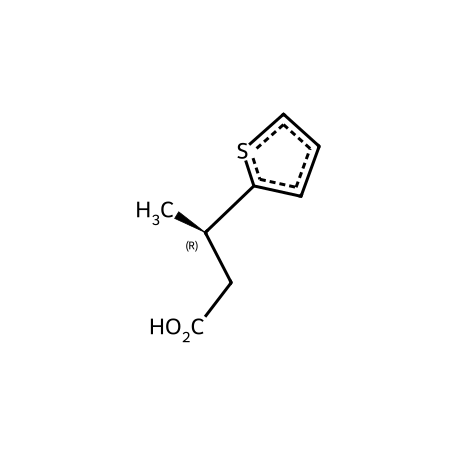 C[C@H](CC(=O)O)c1cccs1